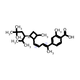 C/C(=C\C=C/C1C(C)C[C@@H]1C(CC(C)(C)C)C(C)C)c1ccc(C(=O)O)c(C)c1